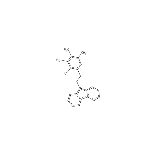 Cc1nc(CCn2c3ccccc3c3ccccc32)c(C)c(C)c1C